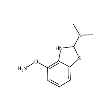 CN(C)C1Nc2c(ON)cccc2S1